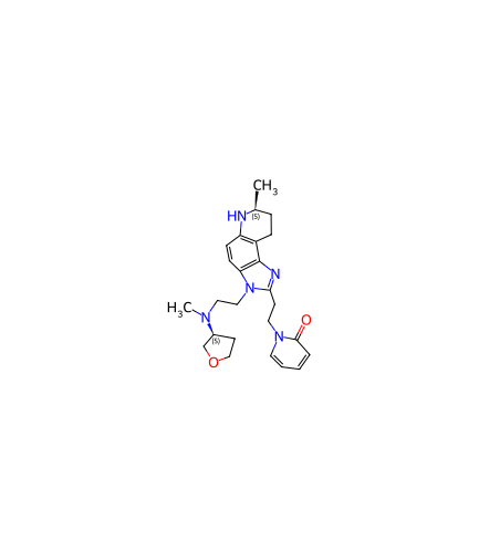 C[C@H]1CCc2c(ccc3c2nc(CCn2ccccc2=O)n3CCN(C)[C@H]2CCOC2)N1